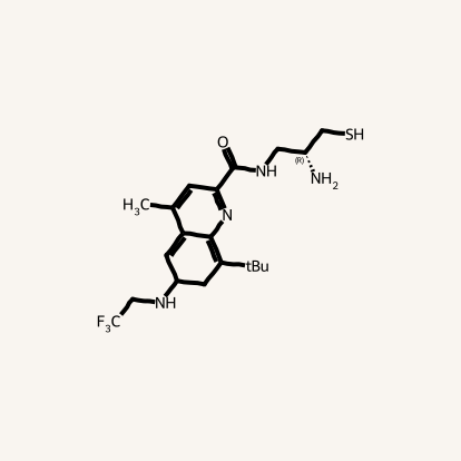 Cc1cc(C(=O)NC[C@@H](N)CS)nc2c1=CC(NCC(F)(F)F)CC=2C(C)(C)C